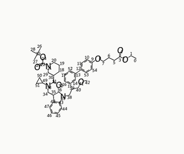 CCOC(=O)CCCOc1ccc(-c2cccc([C@H]3CCN(C(=O)OC(C)(C)C)C[C@@H]3C(=O)N(CC3CN(CCCOC)c4ccccc43)C3CC3)c2)cc1